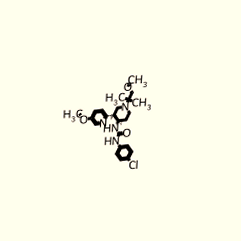 COCC(C)(C)N1CC[C@@H](NC(=O)Nc2ccc(Cl)cc2)[C@H](c2ccc(OC)cn2)C1